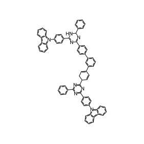 C1=CC(c2nc(-c3ccccc3)nc(-c3ccc(-n4c5ccccc5c5ccccc54)cc3)n2)CC=C1c1cccc(-c2ccc(C3=NC(c4ccccc4)NC(c4ccc(-n5c6ccccc6c6ccccc65)cc4)=N3)cc2)c1